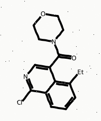 CCc1cccc2c(Cl)ncc(C(=O)N3CCOCC3)c12